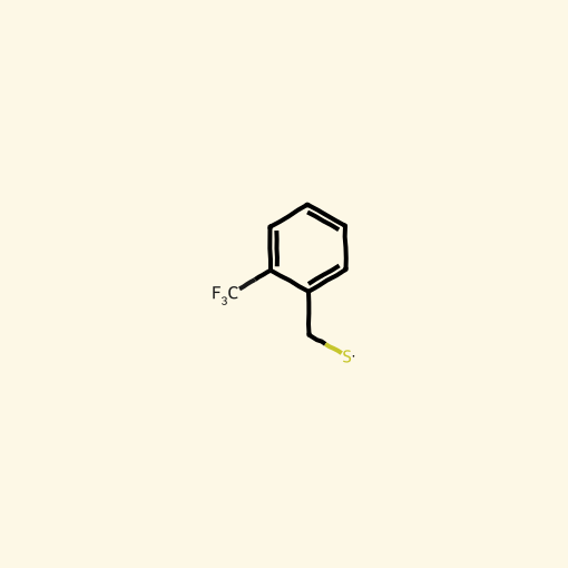 FC(F)(F)c1ccccc1C[S]